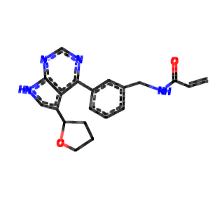 C=CC(=O)NCc1cccc(-c2ncnc3[nH]cc(C4CCCO4)c23)c1